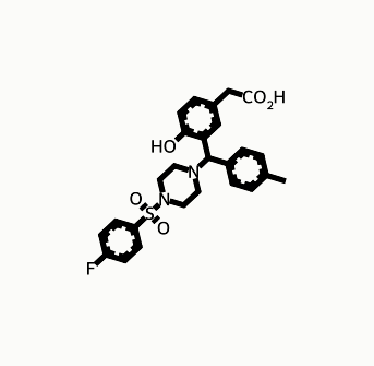 Cc1ccc(C(c2cc(CC(=O)O)ccc2O)N2CCN(S(=O)(=O)c3ccc(F)cc3)CC2)cc1